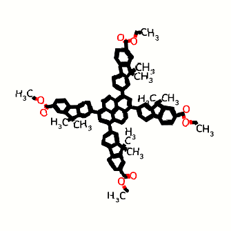 CCOC(=O)c1ccc2c(c1)C(C)(C)c1cc(-c3cc(-c4ccc5c(c4)C(C)(C)c4cc(C(=O)OCC)ccc4-5)c4ccc5c(-c6ccc7c(c6)C(C)(C)c6cc(C(=O)OCC)ccc6-7)cc(-c6ccc7c(c6)C(C)(C)c6cc(C(=O)OCC)ccc6-7)c6ccc3c4c65)ccc1-2